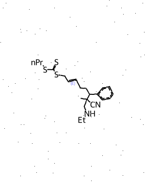 CCCSC(=S)SC/C=C/CCC(c1ccccc1)C(C)(C#N)CNCC